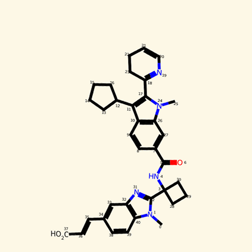 Cn1c(C2(NC(=O)c3ccc4c(C5CCCC5)c(C5=NC=CCC5)n(C)c4c3)CCC2)nc2cc(/C=C/C(=O)O)ccc21